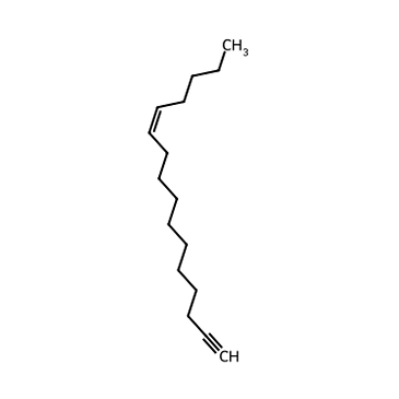 C#CCCCCCCCC/C=C\CCCC